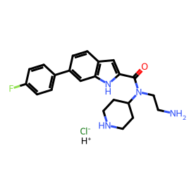 NCCN(C(=O)c1cc2ccc(-c3ccc(F)cc3)cc2[nH]1)C1CCNCC1.[Cl-].[H+]